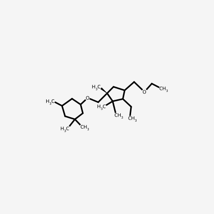 CCOCC1C[C@@](C)(COC2CC(C)CC(C)(C)C2)C(C)(C)C1CC